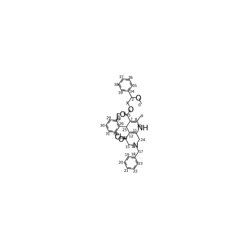 COC(COC(=O)C1=C(C)NC2=C(C(=O)CN(Cc3ccccc3)C2)C1c1c(F)cccc1Cl)c1ccccc1